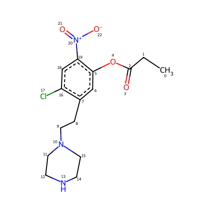 CCC(=O)Oc1cc(CCN2CCNCC2)c(Cl)cc1[N+](=O)[O-]